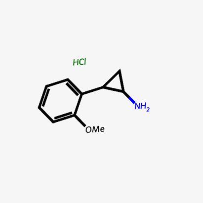 COc1ccccc1C1CC1N.Cl